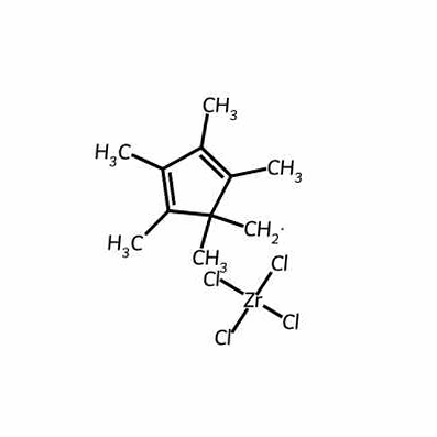 [CH2]C1(C)C(C)=C(C)C(C)=C1C.[Cl][Zr]([Cl])([Cl])[Cl]